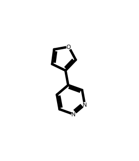 c1cc(-c2ccoc2)cnn1